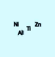 [Al].[Ni].[Ti].[Zn]